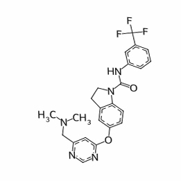 CN(C)Cc1cc(Oc2ccc3c(c2)CCN3C(=O)Nc2cccc(C(F)(F)F)c2)ncn1